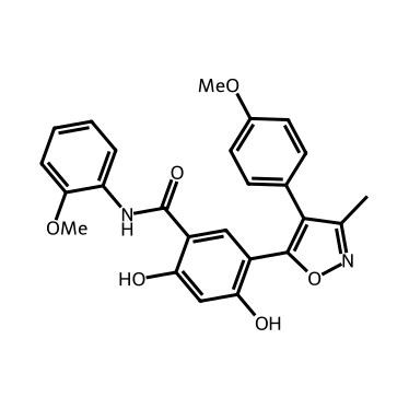 COc1ccc(-c2c(C)noc2-c2cc(C(=O)Nc3ccccc3OC)c(O)cc2O)cc1